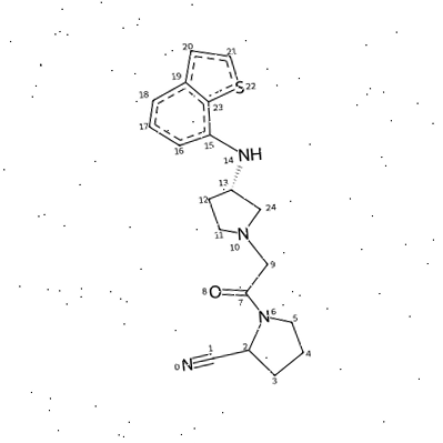 N#CC1CCCN1C(=O)CN1CC[C@H](Nc2cccc3ccsc23)C1